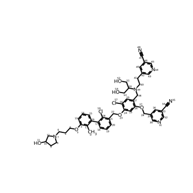 Cc1c(OCCCN2CCC(O)C2)cccc1-c1cccc(COc2cc(OCc3cncc(C#N)c3)c(CN(CCc3cncc(C#N)c3)C(CO)CO)cc2Cl)c1Cl